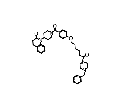 O=C(CCCCCOc1ccc(C(=O)N2CCC(N3C(=O)CCc4ccccc43)CC2)cc1)N1CCN(Cc2ccccc2)CC1